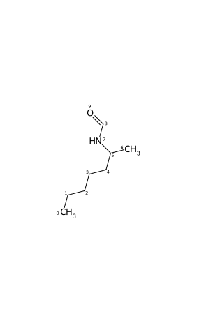 CCCCCC(C)NC=O